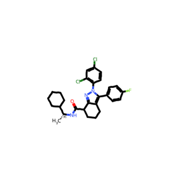 C[C@@H](NC(=O)C1CCCc2c1nn(-c1ccc(Cl)cc1Cl)c2-c1ccc(F)cc1)C1CCCCC1